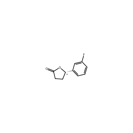 O=C1CC[C@@H](c2cccc(F)c2)O1